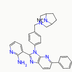 N#CN1C2CCC1CN(Cc1ccc(-n3c(-c4cccnc4N)nc4ccc(-c5ccccc5)nc43)cc1)C2